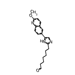 COc1ccc2cc(-c3cnc(CCCCCCC=O)[nH]3)ccc2n1